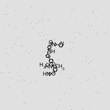 Cc1ccc(OC2CNC2)cc1C(=O)NC(C)c1cccc(-c2ccc(CN[C@H]3CC[C@@H](C(=O)N4CC(c5cccnc5)C4)C3)s2)c1